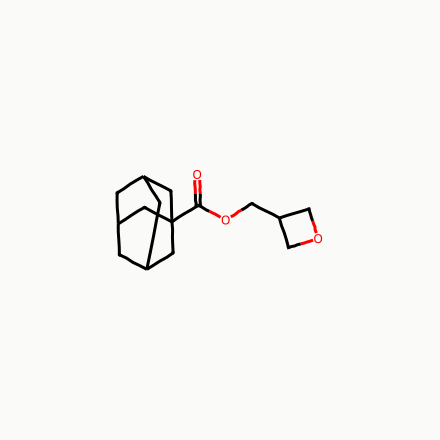 O=C(OCC1COC1)C12CC3CC(CC(C3)C1)C2